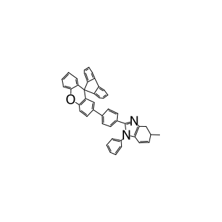 CC1C=Cc2c(nc(-c3ccc(-c4ccc5c(c4)C4(c6ccccc6O5)c5ccccc5-c5ccccc54)cc3)n2-c2ccccc2)C1